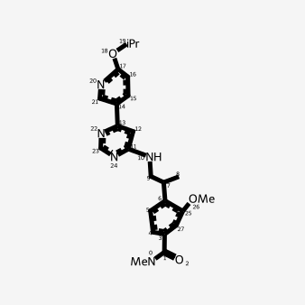 CNC(=O)c1ccc(C(C)CNc2cc(-c3ccc(OC(C)C)nc3)ncn2)c(OC)c1